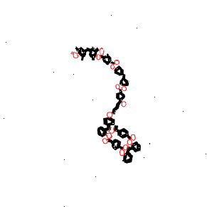 COc1c(C)cc(Cc2cc(C)c(OC(=O)c3ccc(C(=O)Oc4ccc(Cc5ccc(OC(=O)c6ccc(C(=O)CCCCOc7ccc(Cc8ccccc8OC(=O)c8ccc(C(=O)Oc9ccccc9Cc9ccccc9OC(=O)c9ccc(C(C)=O)cc9)cc8)cc7)cc6)cc5)cc4)cc3)c(C)c2)cc1C